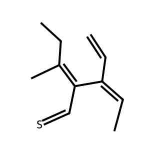 C=CC(=C/C)/C(C=S)=C(/C)CC